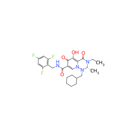 CCN1C(=O)c2c(O)c(=O)c(C(=O)NCc3c(F)cc(F)cc3F)cn2N(CC2CCCCC2)[C@H]1C